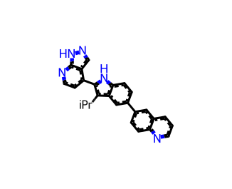 CC(C)c1c(-c2ccnc3[nH]ncc23)[nH]c2ccc(-c3ccc4ncccc4c3)cc12